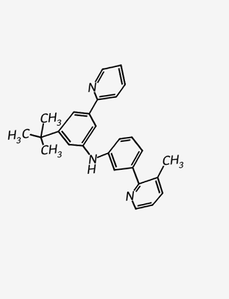 Cc1cccnc1-c1cccc(Nc2cc(-c3ccccn3)cc(C(C)(C)C)c2)c1